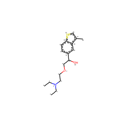 CCN(CC)CCOCC(O)c1ccc2scc(C)c2c1